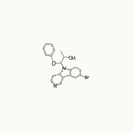 CC(O)C(Oc1ccccc1)n1c2ccncc2c2cc(Br)ccc21